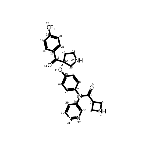 O=C(C1CNC1)N(c1ccc(O[C@]2(C(=O)c3ccc(C(F)(F)F)cc3)CCNC2)cc1)c1ccnnc1